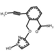 CC#Cc1cccc(C(N)=O)c1COc1ccn(O)n1